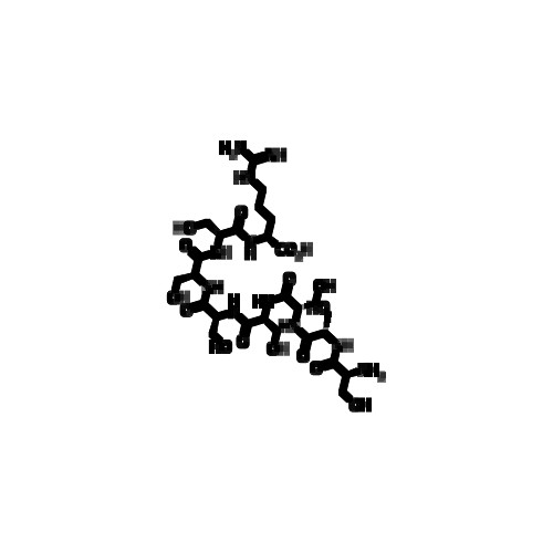 N=C(N)NCCC[C@H](NC(=O)[C@H](CO)NC(=O)[C@H](CO)NC(=O)[C@H](CO)NC(=O)[C@H](CO)NC(=O)[C@H](CO)NC(=O)[C@H](CO)NC(=O)[C@@H](N)CO)C(=O)O